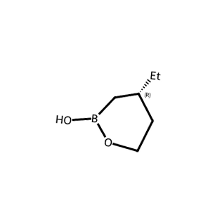 CC[C@@H]1CCOB(O)C1